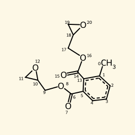 Cc1cccc(C(=O)OCC2CO2)c1C(=O)OCC1CO1